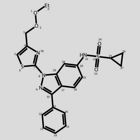 CCOOCc1csc(-n2nc(-c3ccccc3)c3ccc(NS(=O)(=O)C4CC4)cc32)n1